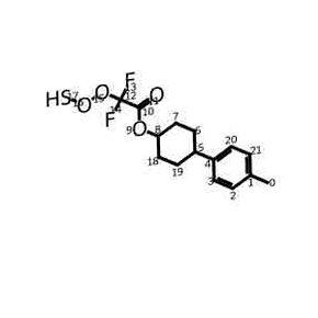 Cc1ccc(C2CCC(OC(=O)C(F)(F)OOS)CC2)cc1